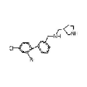 Clc1ccc(-c2cccc(CNCC3CCNC3)c2)c(Br)c1